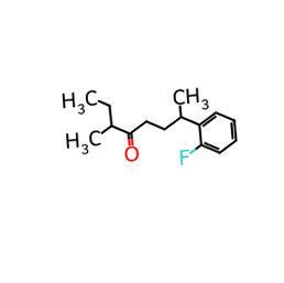 CCC(C)C(=O)CCC(C)c1ccccc1F